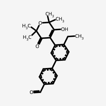 CCc1ccc(-c2ccc(C=O)cc2)cc1C1=C(O)C(C)(C)OC(C)(C)C1=O